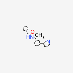 CC(NC(=O)CC1CCCC1)c1cccc(-c2cccnc2)c1